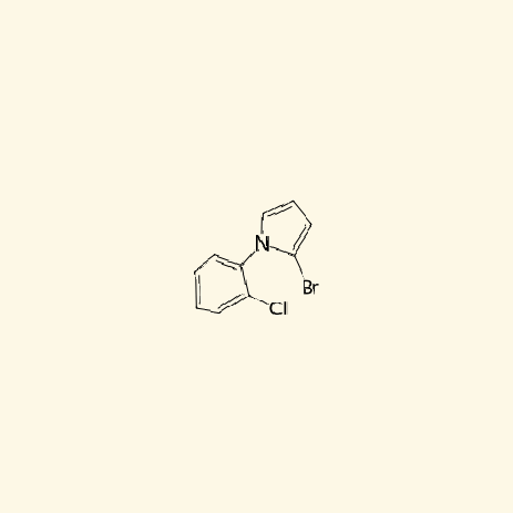 Clc1ccccc1-n1cccc1Br